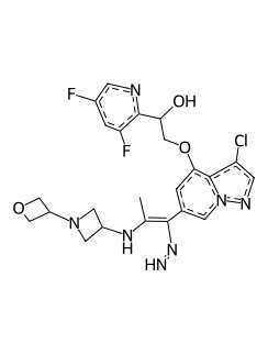 C/C(NC1CN(C2COC2)C1)=C(/N=N)c1cc(OCC(O)c2ncc(F)cc2F)c2c(Cl)cnn2c1